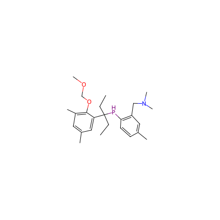 CCC(CC)(Pc1ccc(C)cc1CN(C)C)c1cc(C)cc(C)c1OCOC